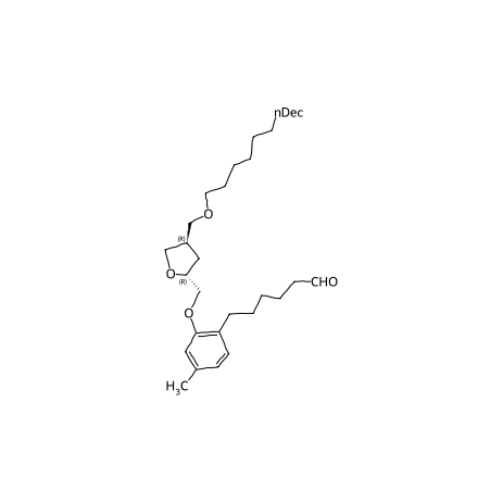 CCCCCCCCCCCCCCCCOC[C@@H]1CO[C@@H](COc2cc(C)ccc2CCCCCC=O)C1